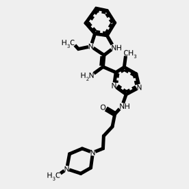 CCN1/C(=C(\N)c2nc(NC(=O)CCCN3CCN(C)CC3)ncc2C)Nc2ccccc21